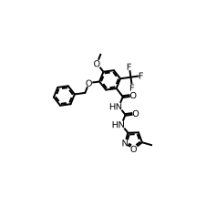 COc1cc(C(F)(F)F)c(C(=O)NC(=O)Nc2cc(C)on2)cc1OCc1ccccc1